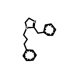 c1ccc(CCCN2CCN=C2Cc2ccccc2)cc1